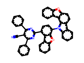 N#Cc1c(-c2ccccc2)nc(-c2ccc(-n3c4ccccc4c4ccc5oc6ccccc6c5c43)c3oc4ccccc4c23)nc1-c1ccccc1